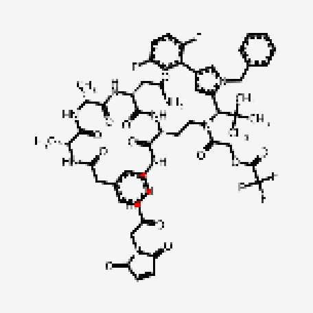 C[C@@H](NC(=O)Cc1ccncc1)C(=O)N[C@H](C)C(=O)N[C@@H](CC(N)=O)C(=O)N[C@@H](CCN(C(=O)COC(=O)C(F)(F)F)[C@@H](c1cc(-c2cc(F)ccc2F)cn1Cc1ccccc1)C(C)(C)C)C(=O)NCCNC(=O)CN1C(=O)C=CC1=O